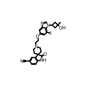 CC1(O)CC(n2cnc3cc(OCCN4CCC5(CC4)C(=O)Nc4ccc(C#N)cc45)cc(F)c32)C1